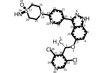 C[C@H](Oc1ccc2[nH]nc(-c3ccc(N4CCS(=N)(=O)CC4)nc3)c2c1)c1c(Cl)cncc1Cl